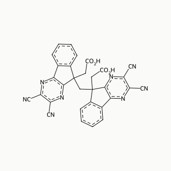 N#Cc1nc2c(nc1C#N)C(CC(=O)O)(CC1(CC(=O)O)c3ccccc3-c3nc(C#N)c(C#N)nc31)c1ccccc1-2